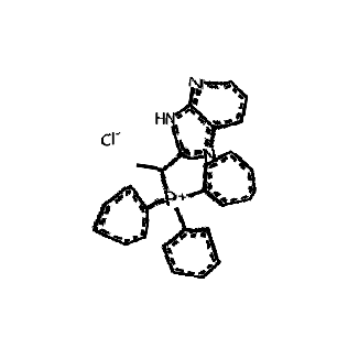 CC(c1nc2cccnc2[nH]1)[P+](c1ccccc1)(c1ccccc1)c1ccccc1.[Cl-]